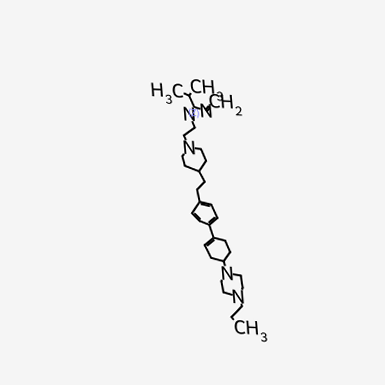 C=N/C(=N\CCN1CCC(CCc2ccc(C3=CCC(N4CCN(CCC)CC4)CC3)cc2)CC1)C(C)C